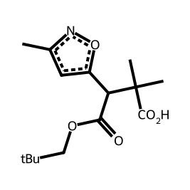 Cc1cc(C(C(=O)OCC(C)(C)C)C(C)(C)C(=O)O)on1